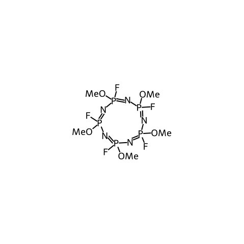 COP1(F)=NP(F)(OC)=NP(F)(OC)=NP(F)(OC)=NP(F)(OC)=N1